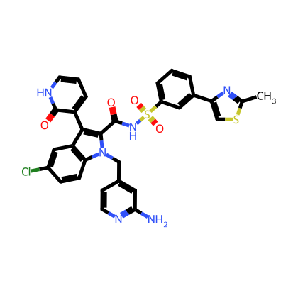 Cc1nc(-c2cccc(S(=O)(=O)NC(=O)c3c(-c4ccc[nH]c4=O)c4cc(Cl)ccc4n3Cc3ccnc(N)c3)c2)cs1